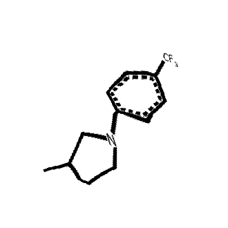 CC1CCN(c2ccc(C(F)(F)F)cc2)C1